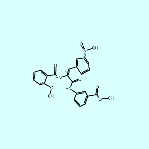 COC(=O)c1cccc(NC(=O)/C(=C\c2cccc([N+](=O)O)c2)NC(=O)c2ccccc2OC)c1